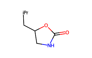 CC(C)CC1CNC(=O)O1